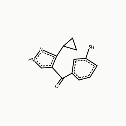 O=C(c1cccc(S)c1)c1c[nH]nc1C1CC1